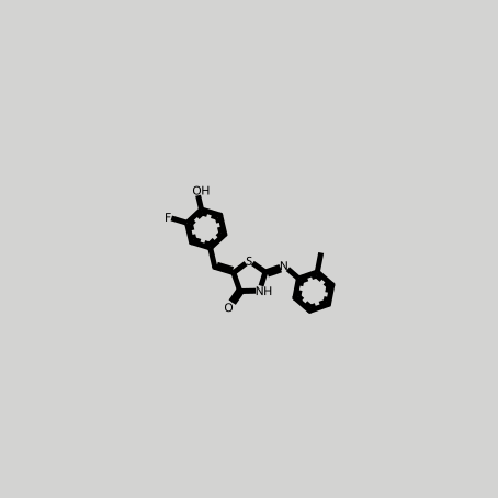 Cc1ccccc1/N=C1\NC(=O)/C(=C/c2ccc(O)c(F)c2)S1